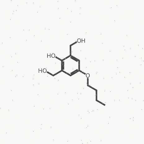 CCCCOc1cc(CO)c(O)c(CO)c1